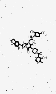 CCc1c(N2CCN(C(=O)c3ncnc(C)c3O)CC2)c(=O)n2nc(-c3cc4c(cc3F)O[C@H](C)C4)nc2n1CC(=O)Nc1ccc(C(F)(F)F)cc1Cl